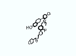 CCN(Cc1ccc(OCCN(C)CC2CCOCC2)c(F)c1)c1cc(OC)ccc1[C@@H]1CCc2cc(O)ccc2C1